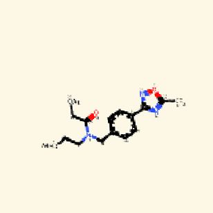 COCCN(Cc1ccc(-c2noc(C(F)(F)F)n2)cc1)C(=O)COC(C)=O